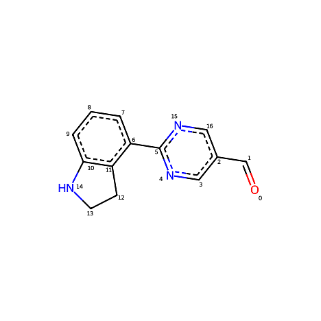 O=Cc1cnc(-c2cccc3c2CCN3)nc1